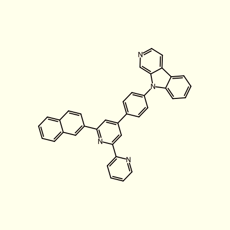 c1ccc(-c2cc(-c3ccc(-n4c5ccccc5c5ccncc54)cc3)cc(-c3ccc4ccccc4c3)n2)nc1